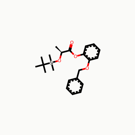 C[C@H](O[Si](C)(C)C(C)(C)C)C(=O)Oc1ccccc1OCc1ccccc1